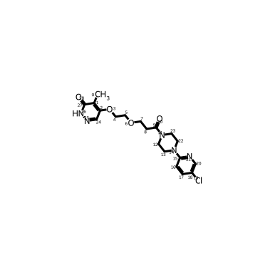 Cc1c(OCCOCCC(=O)N2CCN(c3ccc(Cl)cn3)CC2)cn[nH]c1=O